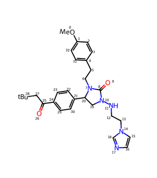 COc1ccc(CCN2C(=O)N(NCCn3ccnc3)CC2c2ccc(C(=O)CC(C)(C)C)cc2)cc1